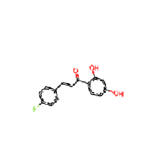 O=C(/C=C/c1ccc(F)cc1)c1ccc(O)cc1O